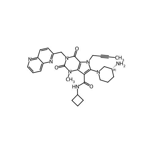 CC#CCn1c(N2CCC[C@@H](N)C2)c(C(=O)NC2CCC2)c2c1c(=O)n(Cc1ccc3ncccc3n1)c(=O)n2C